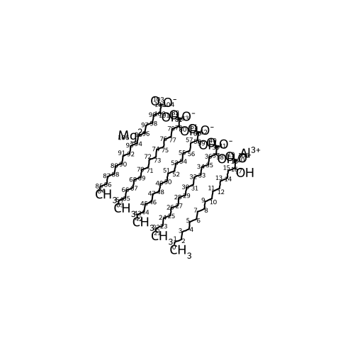 CCCCCCCCCCCCCCCCC(O)C(=O)[O-].CCCCCCCCCCCCCCCCC(O)C(=O)[O-].CCCCCCCCCCCCCCCCC(O)C(=O)[O-].CCCCCCCCCCCCCCCCC(O)C(=O)[O-].CCCCCCCCCCCCCCCCC(O)C(=O)[O-].[Al+3].[Mg+2]